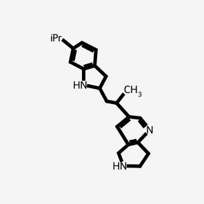 CC(C)c1ccc2c(c1)NC(CC(C)c1cnc3c(c1)CNCC3)C2